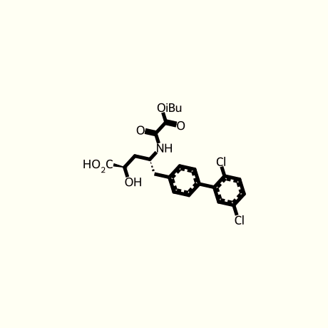 CC(C)COC(=O)C(=O)N[C@H](Cc1ccc(-c2cc(Cl)ccc2Cl)cc1)C[C@@H](O)C(=O)O